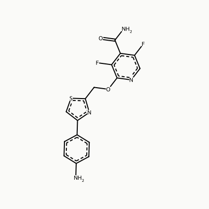 NC(=O)c1c(F)cnc(OCc2nc(-c3ccc(N)cc3)cs2)c1F